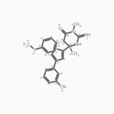 CN1C(=N)N[C@](C)(c2cc(-c3cccc(C#N)c3)cs2)[C@H](c2ccc(SC(F)(F)F)cc2)C1=O